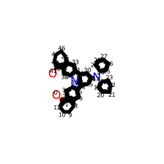 O=C1c2cc3c(cc2C2CCC1CC2)c1cc(N(c2ccccc2)c2ccccc2)cc2c4cc5c(cc4n3c12)C(=O)C1CCC5CC1